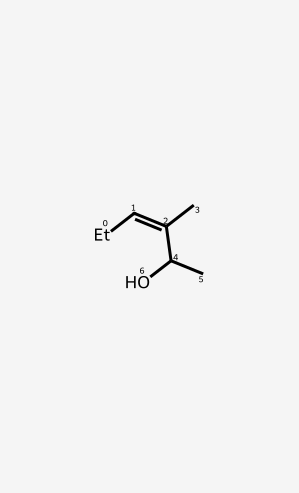 [CH2]CC=C(C)C(C)O